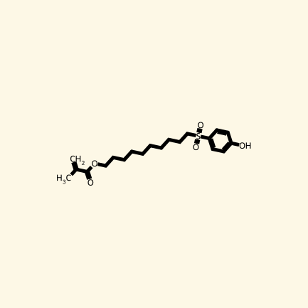 C=C(C)C(=O)OCCCCCCCCCCS(=O)(=O)c1ccc(O)cc1